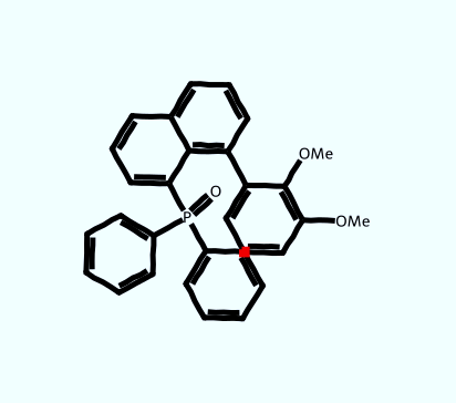 COc1cccc(-c2cccc3cccc(P(=O)(c4ccccc4)c4ccccc4)c23)c1OC